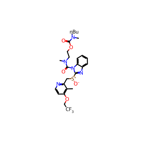 CC[CH]CN(C)C(=O)OCCN(C)C(=O)n1c([S@+]([O-])Cc2nccc(OCC(F)(F)F)c2C)nc2ccccc21